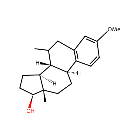 COc1ccc2c(c1)CC(C)[C@@H]1[C@@H]2CC[C@]2(C)[C@@H](O)CC[C@@H]12